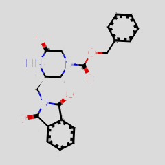 O=C1CN(C(=O)OCc2ccccc2)C[C@@H](CN2C(=O)c3ccccc3C2=O)N1